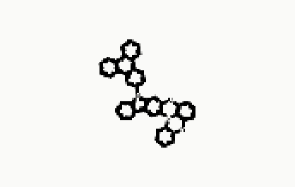 c1ccc2c(c1)Oc1cccc3c1N2c1cc2c4ccccc4n(-c4ccc5c6ccccc6c6ccccc6c5c4)c2cc1O3